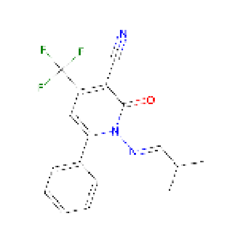 CC(C)/C=N/n1c(-c2ccccc2)cc(C(F)(F)F)c(C#N)c1=O